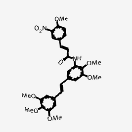 COc1ccc(/C=C/C(=O)Nc2cc(/C=C/c3cc(OC)c(OC)c(OC)c3)cc(OC)c2OC)cc1[N+](=O)[O-]